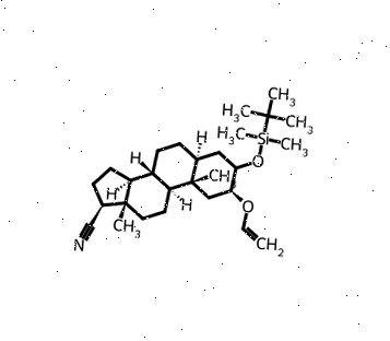 C=CO[C@H]1C[C@@]2(C)[C@@H](CC[C@@H]3[C@@H]2CC[C@]2(C)[C@@H](C#N)CC[C@@H]32)CC1O[Si](C)(C)C(C)(C)C